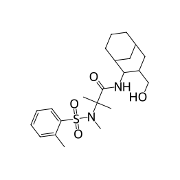 Cc1ccccc1S(=O)(=O)N(C)C(C)(C)C(=O)NC1C(CO)CC2CCCC1C2